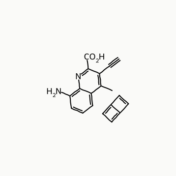 C#Cc1c(C(=O)O)nc2c(N)cccc2c1C.c1cc2ccc1-2